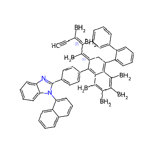 B/C(C#C)=C(B)/C(B)=C1\CC(c2ccccc2-c2ccccc2)=c2c(B)c(B)c(B)c(B)c2=C1c1ccc(-c2nc3ccccc3n2-c2cccc3ccccc23)cc1